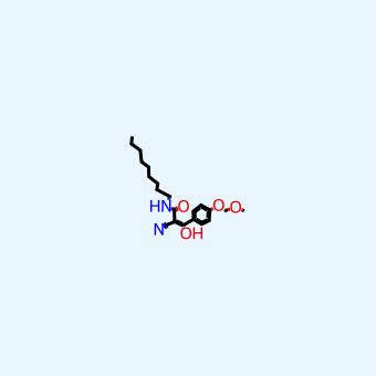 CCCCCCCCCNC(=O)C(C#N)=C(O)c1ccc(OCOC)cc1